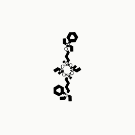 C=C[Si]1(C)O[Si](C)(CCCC[Si](C=C)(C=C)c2ccccc2)O[Si](C)(C=C)O[Si](C)(CCCO[Si](C=C)(C=C)c2ccccc2)O1